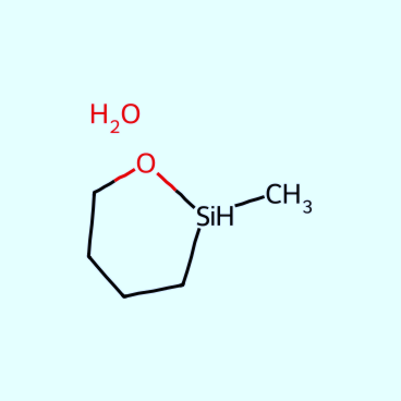 C[SiH]1CCCCO1.O